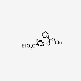 CCOC(=O)c1csc([C@@H]2CCCN2C(=O)OC(C)(C)C)n1